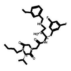 CCCCN1C(=O)CN(CC(=O)N[C@@H](Cc2cc(F)cc(F)c2)[C@H](O)CNCc2cccc(CC)c2)C(=O)[C@@H]1C(C)C